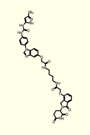 CC(C)(C)c1cc(NC(=O)Nc2ccc(-n3cnc4cc(OCC(=O)NCCCCNC(=O)COc5cccc6c5CN(C5CCC(=O)NC5=O)C6=O)ccc43)cc2)[nH]n1